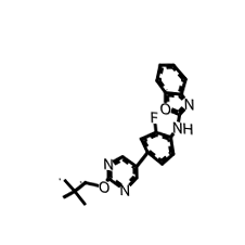 [CH2]C(C)(C)[CH]Oc1ncc(-c2ccc(Nc3nc4ccccc4o3)c(F)c2)cn1